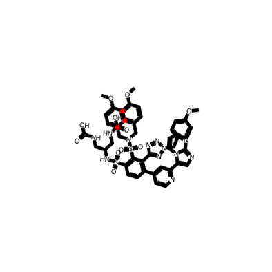 COc1ccc(CN(Cc2ccc(OC)cc2)S(=O)(=O)c2c(S(=O)(=O)NC(CNC(=O)O)CNC(=O)O)ccc(-c3ccnc(-c4cnc5ncccn45)c3)c2-c2nnn(Cc3ccc(OC)cc3)n2)cc1